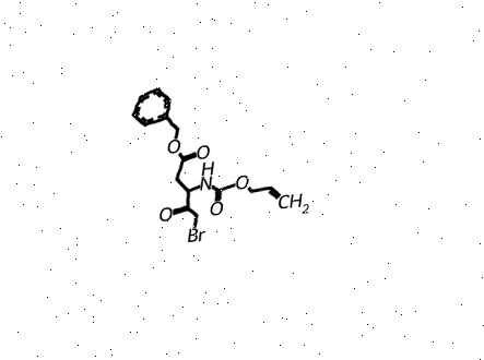 C=CCOC(=O)NC(CC(=O)OCc1ccccc1)C(=O)CBr